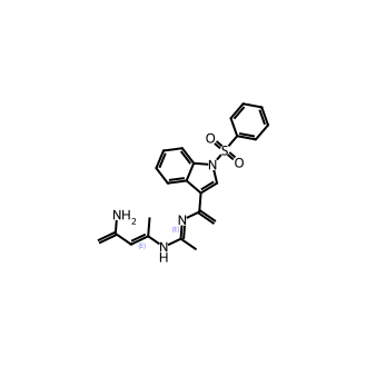 C=C(N)/C=C(\C)N/C(C)=N/C(=C)c1cn(S(=O)(=O)c2ccccc2)c2ccccc12